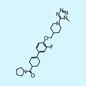 Cn1nnnc1N1CCC(COc2ccc(C3=CCC(C(=O)N4CCCC4)CC3)cc2F)CC1